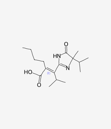 CCCC/C(C(=O)O)=C(\C1=NC(C)(C(C)C)C(=O)N1)C(C)C